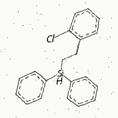 Clc1ccccc1CC[SiH](c1ccccc1)c1ccccc1